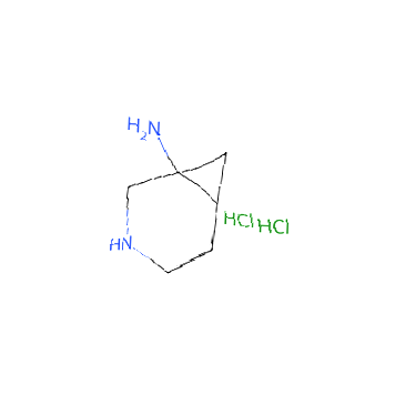 Cl.Cl.NC12CNCCC1C2